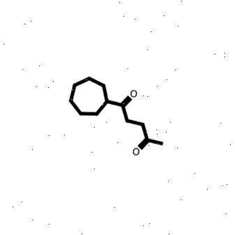 CC(=O)CCC(=O)C1CCCCCC1